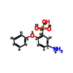 Nc1ccc(Oc2ccccc2)c(S(=O)(=O)O)c1